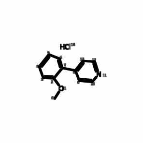 COc1ccccc1-c1ccncc1.Cl